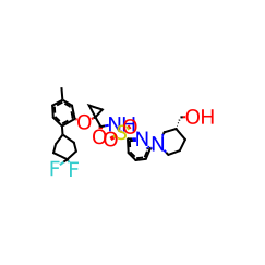 Cc1ccc(C2CCC(F)(F)CC2)c(OC2(C(=O)NS(=O)(=O)c3cccc(N4CCC[C@@H](CO)C4)n3)CC2)c1